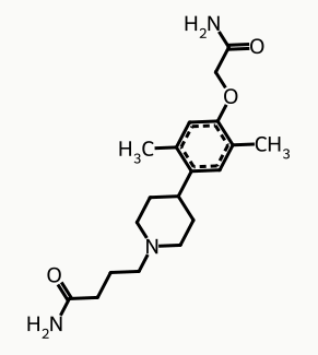 Cc1cc(C2CCN(CCCC(N)=O)CC2)c(C)cc1OCC(N)=O